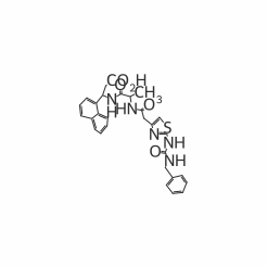 CC(NC(=O)Cc1csc(NC(=O)NCc2ccccc2)n1)C(=O)NC(CC(=O)O)c1cccc2ccccc12